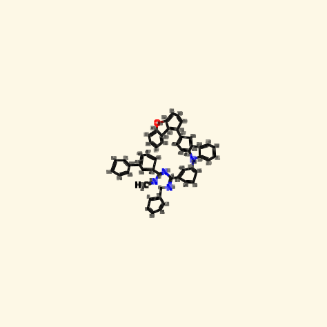 C=N/C(=N\C(=N/Cc1ccccc1)c1cccc(-n2c3ccccc3c3cc(-c4cccc5oc6ccccc6c45)ccc32)c1)c1cccc(-c2ccccc2)c1